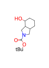 CC(C)(C)OC(=O)N1CC2CCCC(O)C2C1